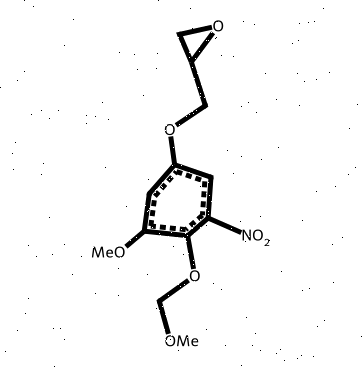 COCOc1c(OC)cc(OCC2CO2)cc1[N+](=O)[O-]